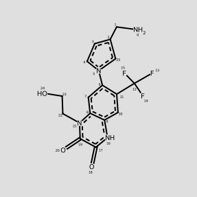 NCc1ccn(-c2cc3c(cc2C(F)(F)F)[nH]c(=O)c(=O)n3CCO)c1